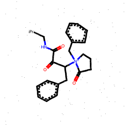 CC(C)CNC(=O)C(=O)C(Cc1ccccc1)[N+]1(Cc2ccccc2)CCCC1=O